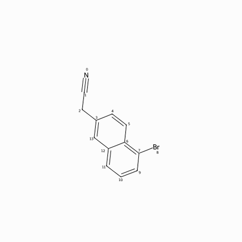 N#CCc1ccc2c(Br)cccc2c1